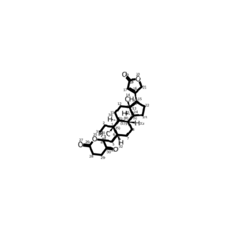 C[C@]12CC[C@@]3(C[C@H]1CC[C@@H]1[C@@H]2CC[C@]2(C)[C@@H](C4=CC(=O)OC4)CC[C@@H]12)OC(=O)CCC3=O